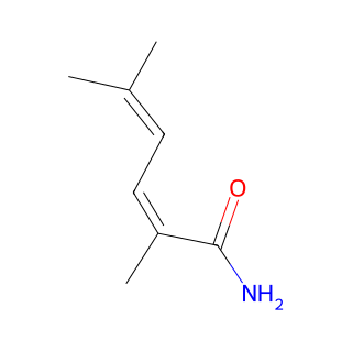 CC(C)=CC=C(C)C(N)=O